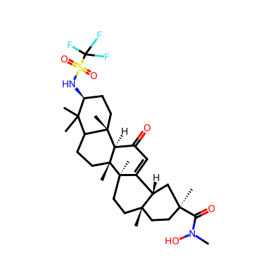 CN(O)C(=O)[C@@]1(C)CC[C@]2(C)CC[C@]3(C)C(=CC(=O)[C@@H]4[C@@]5(C)CC[C@H](NS(=O)(=O)C(F)(F)F)C(C)(C)C5CC[C@]43C)[C@@H]2C1